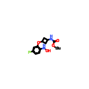 CC(C)(C)OC(=O)NC1CC(Oc2cc(F)ccc2NO)C1